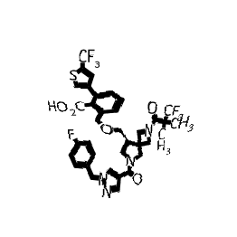 CC(C)(C(=O)N1CC2(CN(C(=O)c3cnn(Cc4ccc(F)cc4)c3)C[C@H]2COCc2cccc(-c3csc(C(F)(F)F)c3)c2C(=O)O)C1)C(F)(F)F